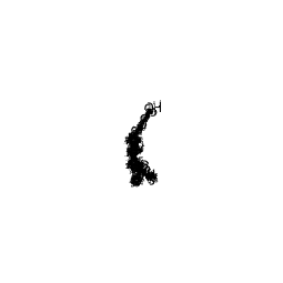 O=C(O)CCOCCOCCOCCN1CCN(c2ccc(-c3ccc4c(c3)C(=O)N(C(C(=O)Nc3nccs3)c3ccccc3)C4)cn2)CC1